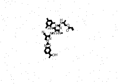 C=CC(=O)OCC(C)Nc1nc(NC)c(N=Nc2nn(-c3nc4ccc(C(C)O)cc4s3)cc2C#N)c(Nc2c(C)cc(C)cc2C)n1